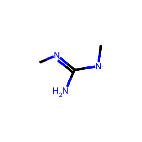 C[N]C(N)=NC